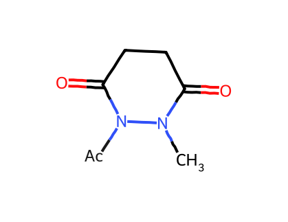 CC(=O)N1C(=O)CCC(=O)N1C